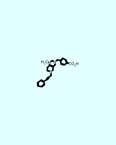 CN1CN(Cc2ccc(C(=O)O)cc2)CC2=C1CCN(CC#Cc1ccccc1)C2